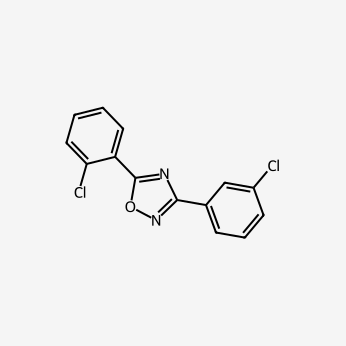 Clc1cccc(-c2noc(-c3ccccc3Cl)n2)c1